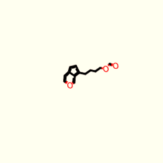 O=COCCCCc1ccc2ccocc1-2